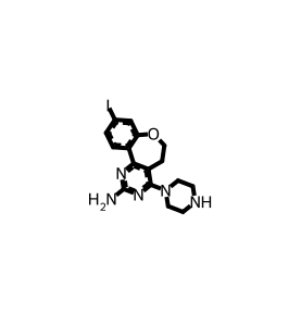 Nc1nc2c(c(N3CCNCC3)n1)CCOc1cc(I)ccc1-2